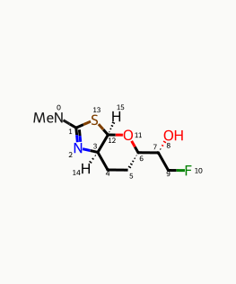 CNC1=N[C@@H]2CC[C@@H]([C@H](O)CF)O[C@@H]2S1